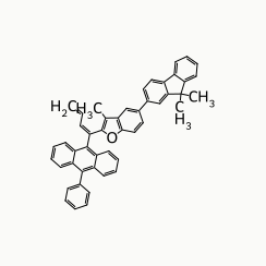 C=C/C=C(\c1oc2ccc(-c3ccc4c(c3)C(C)(C)c3ccccc3-4)cc2c1C)c1c2ccccc2c(-c2ccccc2)c2ccccc12